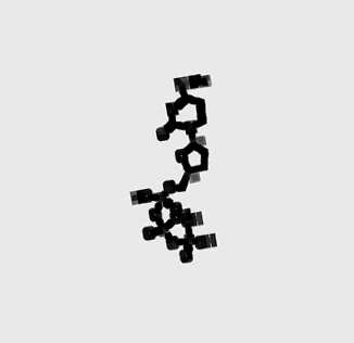 CC(=O)Nc1ccn([C@H]2CC[C@@H](COP(=O)(O)OP(=O)(O)OP(=O)(O)O)O2)c(=O)n1